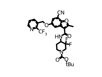 Cc1oc2c(C#N)cc(OCc3cccnc3C(F)(F)F)cc2c1C(=O)NC1CCN(C(=O)OC(C)(C)C)CC1(F)F